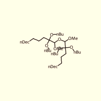 CCCCCCCCCCCCCC(OCCCC)(OCCCC)C(OC)OC(OC)C(CCCCCCCCCCCCC)(OCCCC)OCCCC